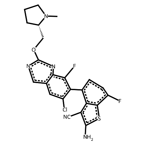 CN1CCC[C@H]1COc1ncc2cc(Cl)c(-c3ccc(F)c4sc(N)c(C#N)c34)c(F)c2n1